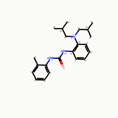 Cc1ccccc1NC(=O)Nc1[c]cccc1N(CC(C)C)CC(C)C